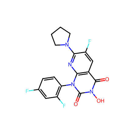 O=c1c2cc(F)c(N3CCCC3)nc2n(-c2ccc(F)cc2F)c(=O)n1O